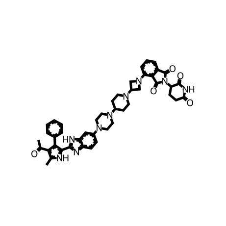 CC(=O)c1c(C)[nH]c(-c2nc3ccc(N4CCN(C5CCN(C6CN(c7cccc8c7C(=O)N(C7CCC(=O)NC7=O)C8=O)C6)CC5)CC4)cc3[nH]2)c1-c1ccccc1